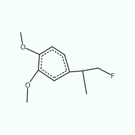 COc1ccc([C](C)CF)cc1OC